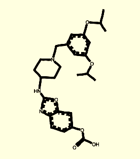 CC(C)Oc1cc(CN2CCC(Nc3nc4ccc(OC(=O)O)cc4o3)CC2)cc(OC(C)C)c1